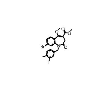 COC(=O)C1=C(OC)c2ccc(Br)cc2N(Cc2ccc(C)c(F)c2)C(=O)C1